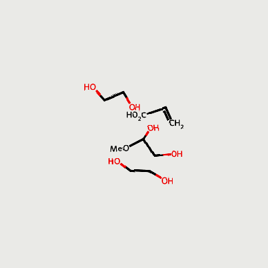 C=CC(=O)O.COC(O)CO.OCCO.OCCO